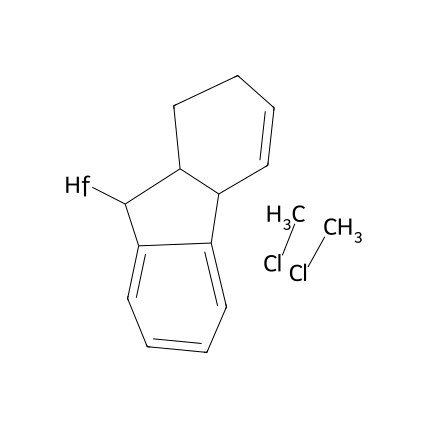 CCl.CCl.[Hf][CH]1c2ccccc2C2C=CCCC12